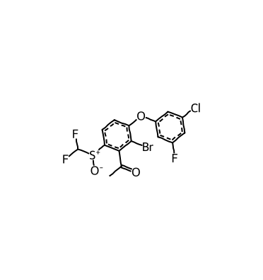 CC(=O)c1c([S+]([O-])C(F)F)ccc(Oc2cc(F)cc(Cl)c2)c1Br